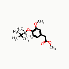 COC(=O)Cc1ccc(O[Si](C)(C)C(C)(C)C)c(OC)c1